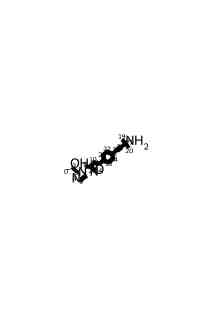 C[C@H](O)c1nccn1Cc1cc(-c2ccc(C#CC(C)(C)N)cc2)on1